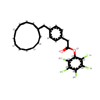 O=C(Cc1ccc(CC2CCCCCCCCCCC2)cc1)Oc1c(F)c(F)c(F)c(F)c1F